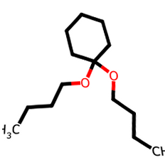 CCCCOC1(OCCCC)CCCCC1